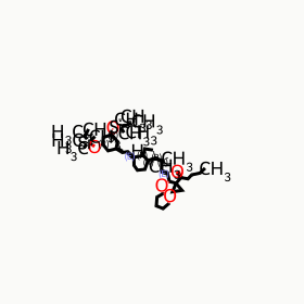 CCCCC(=O)C1(C(/C=C/[C@@H](C)[C@H]2CC[C@H]3/C(=C/C=C4C[C@@H](O[Si](C)(C)C(C)(C)C)C[C@H](O[Si](C)(C)C(C)(C)C)C4)CCC[C@]23C)OC2CCCCO2)CC1